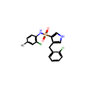 N#Cc1ccc(NS(=O)(=O)c2c[nH]cc2Cc2ccccc2Cl)c(F)c1